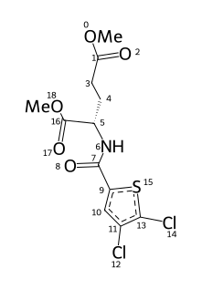 COC(=O)CC[C@H](NC(=O)c1cc(Cl)c(Cl)s1)C(=O)OC